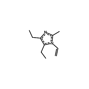 C=Cn1c(C)nc(CC)c1CC